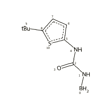 BNC(=O)Nc1ccc(C(C)(C)C)s1